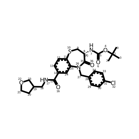 CC(C)(C)OC(=O)N[C@H]1CSc2ccc(C(=O)NCC3CCOC3)cc2N(Cc2ccc(Cl)cc2)C1=O